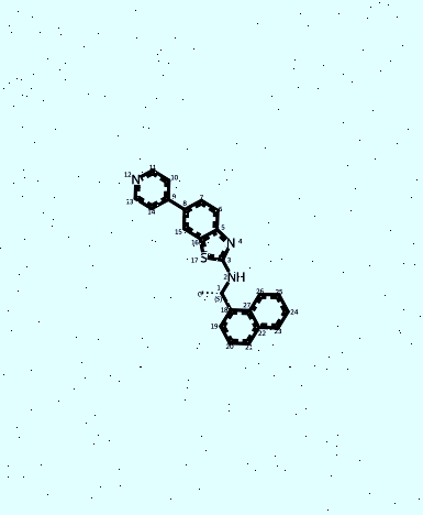 C[C@H](Nc1nc2ccc(-c3ccncc3)cc2s1)c1cccc2ccccc12